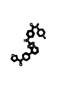 CN1CCC(N(C)C(=O)c2ccc(Nc3nc4c(C5=CCN(C(=O)C6CCOC6)CC5)cccn4n3)cc2)CC1